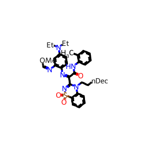 CCCCCCCCCCCCN1C(/C(=N/c2ccc(N(CC)CC)cc2/N=C\OC)C(=O)Nc2ccccc2C)=NS(=O)(=O)c2ccccc21